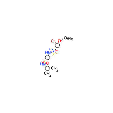 COCCOc1ccc(C(=O)NC(=S)Nc2ccc(S(=O)(=O)Nc3cc(C)cc(C)c3)cc2)cc1Br